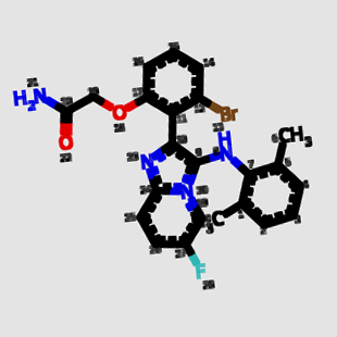 Cc1cccc(C)c1Nc1c(-c2c(Br)cccc2OCC(N)=O)nc2ccc(F)cn12